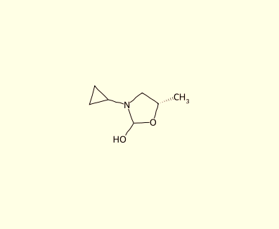 C[C@H]1CN(C2CC2)C(O)O1